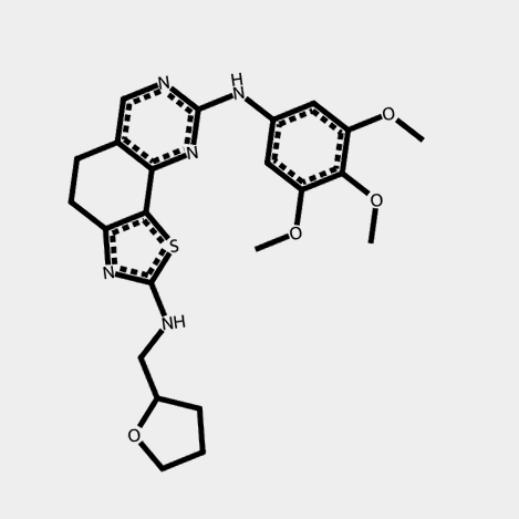 COc1cc(Nc2ncc3c(n2)-c2sc(NCC4CCCO4)nc2CC3)cc(OC)c1OC